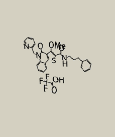 COc1c(C(=O)NCCCc2ccccc2)sc2c1c(=O)n(Cc1ccccn1)c1ccccc21.O=C(O)C(F)(F)F